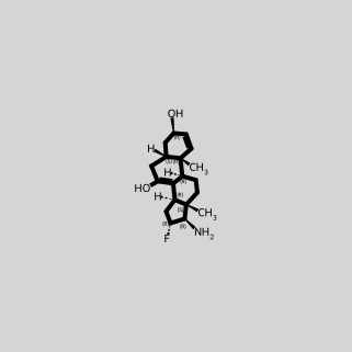 C[C@]12C=C[C@H](O)C[C@H]1CC(O)=C1[C@@H]2CC[C@@]2(C)[C@H]1C[C@@H](F)[C@@H]2N